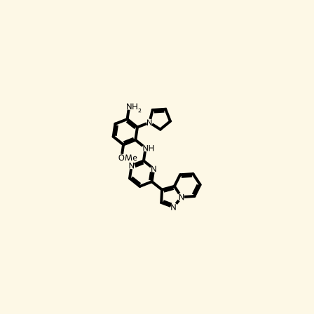 COc1ccc(N)c(N2C=CCC2)c1Nc1nccc(-c2cnn3ccccc23)n1